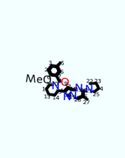 COc1ccc(C)cc1C(=O)N1CCCCC1c1cc2nc(N3CCCC3)c(C)cn2n1